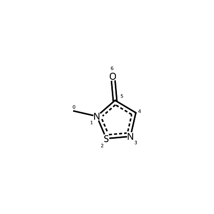 Cn1sncc1=O